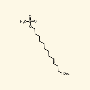 CCCCCCCCCCCCC=CCCCCCCCCOS(C)(=O)=O